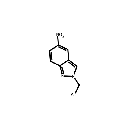 CC(=O)Cn1cc2cc([N+](=O)[O-])ccc2n1